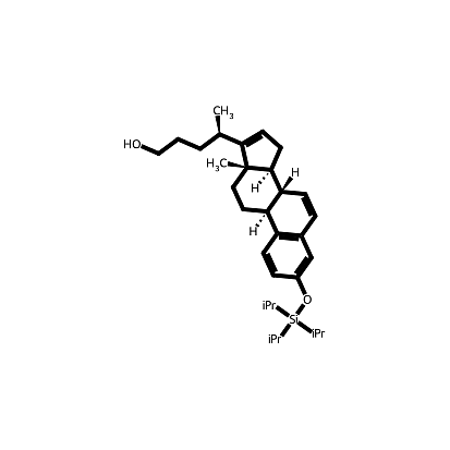 CC(C)[Si](Oc1ccc2c(c1)C=C[C@@H]1[C@@H]2CC[C@]2(C)C([C@H](C)CCCO)=CC[C@@H]12)(C(C)C)C(C)C